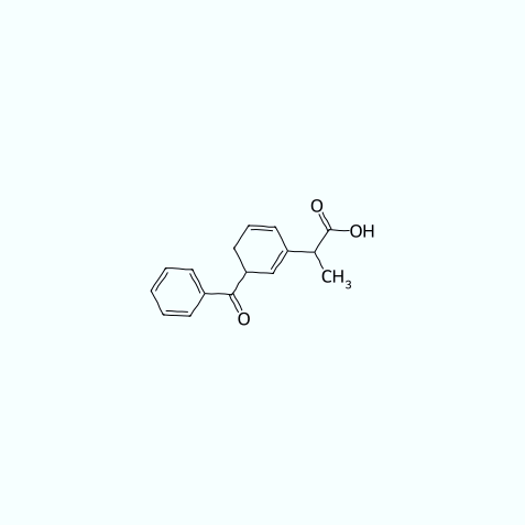 CC(C(=O)O)C1=CC(C(=O)c2ccccc2)CC=C1